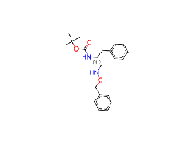 CC(C)(C)OC(=O)N[C@@H](CNOCc1ccccc1)Cc1ccccc1